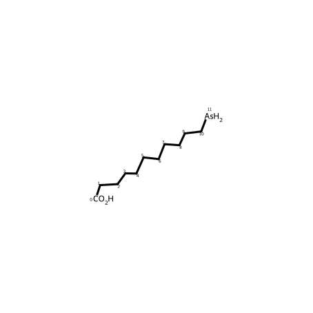 O=C(O)CCCCCCCCCC[AsH2]